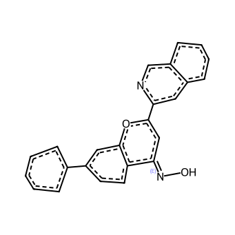 O/N=c1\cc(-c2cc3ccccc3cn2)oc2cc(-c3ccccc3)ccc12